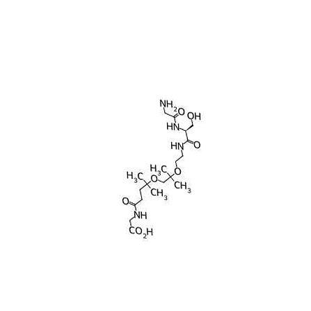 CC(C)(CCC(=O)NCC(=O)O)OCC(C)(C)OCCNC(=O)[C@H](CO)NC(=O)CN